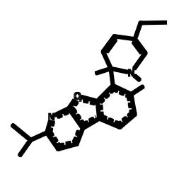 CCC1=CN(C)C(C)(c2c(C)ccc3c2oc2nc(C(C)C)ccc23)C=C1